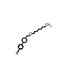 CCCCCC/C=C/OCCC1CCC(c2ccc(C#N)cc2)CC1